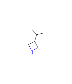 CC(C)C1CNC1